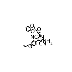 C=CCOc1ccc(-c2c(C#N)c(N)nc(SCC(=O)C3COc4ccccc4O3)c2C#N)cc1